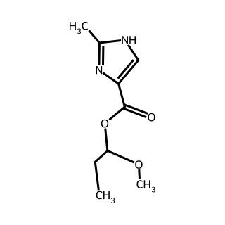 CCC(OC)OC(=O)c1c[nH]c(C)n1